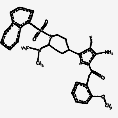 COc1ccccc1C(=O)n1nc(C2CCN(S(=O)(=O)c3cccc4ccccc34)C(N(C)C)C2)c(F)c1N